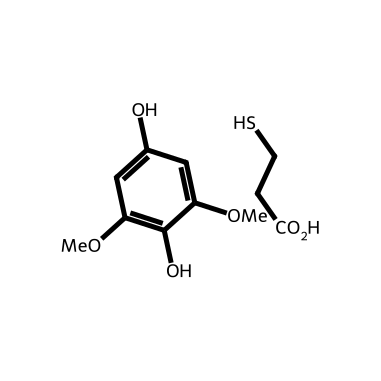 COc1cc(O)cc(OC)c1O.O=C(O)CCS